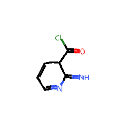 N=C1N=CC=CC1C(=O)Cl